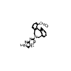 CCOC(=Nc1nc[nH]n1)N1Cc2ccccc2-c2c(C=O)cccc2C1